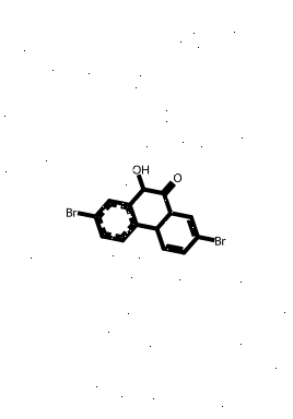 O=C1C(O)c2cc(Br)ccc2C2C=CC(Br)=CC12